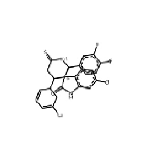 O=C1Nc2cc(Cl)ccc2[C@]12C(c1ccc(F)c(F)c1)NC(=S)CC2C1C=CC=C(Cl)C1